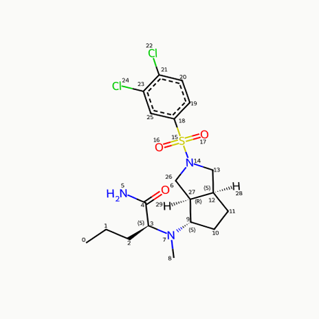 CCC[C@@H](C(N)=O)N(C)[C@H]1CC[C@@H]2CN(S(=O)(=O)c3ccc(Cl)c(Cl)c3)C[C@@H]21